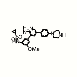 COc1cc(NS(=O)(=O)C2CC2)cc(-c2cc(-c3ccc(N4CCNCC4)cc3)cnc2N)c1